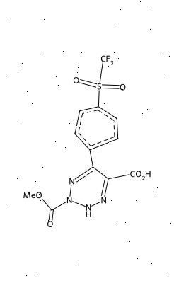 COC(=O)N1N=C(c2ccc(S(=O)(=O)C(F)(F)F)cc2)C(C(=O)O)=NN1